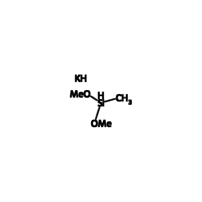 CO[SiH](C)OC.[KH]